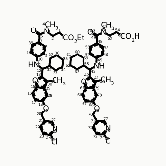 CCOC(=O)CCN(C)C(=O)c1ccc(NC(c2oc3ccc(OCc4ccc(Cl)nc4)cc3c2C)C2CCCCC2)cc1.Cc1c(C(Nc2ccc(C(=O)N(C)CCC(=O)O)cc2)C2CCCCC2)oc2ccc(OCc3ccc(Cl)nc3)cc12